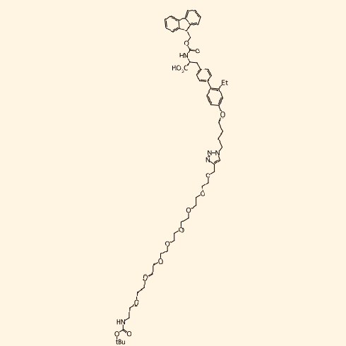 CCc1cc(OCCCCn2cc(COCCOCCOCCOCCOCCOCCOCCOCCNC(=O)OC(C)(C)C)nn2)ccc1-c1ccc(C[C@H](NC(=O)OCC2c3ccccc3-c3ccccc32)C(=O)O)cc1